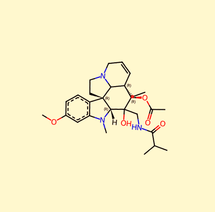 CC[C@]12C=CCN3CC[C@@]4(c5ccc(OC)cc5N(C)[C@H]4C(O)(CNC(=O)C(C)C)[C@@H]1OC(C)=O)C32